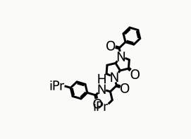 CC(C)CC(NC(=O)c1ccc(C(C)C)cc1)C(=O)N1CCC2C1C(=O)CN2C(=O)c1ccccc1